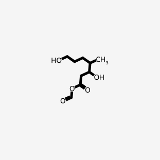 CC(CCCO)C(O)CC(=O)OC=O